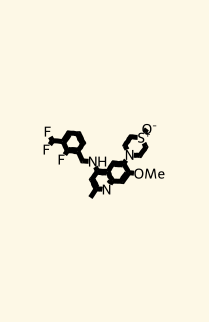 COc1cc2nc(C)cc(NCc3cccc(C(F)F)c3F)c2cc1N1CC[S+]([O-])CC1